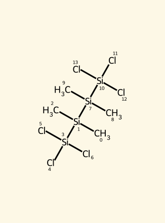 C[Si](C)([Si](Cl)(Cl)Cl)[Si](C)(C)[Si](Cl)(Cl)Cl